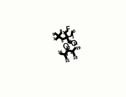 CC[C@](CF)(CC(C)(C)C)C(=O)OC(C(C)C)C(C)C